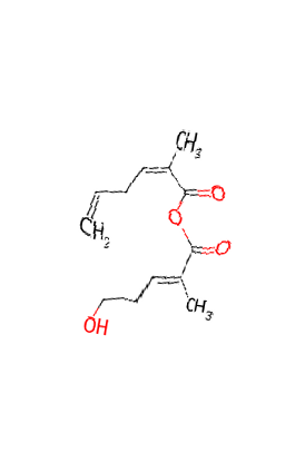 C=CCC=C(C)C(=O)OC(=O)C(C)=CCCO